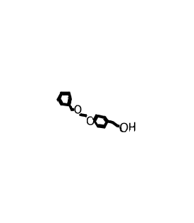 OCCc1ccc(OCCOCc2ccccc2)cc1